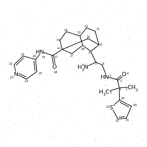 CC(C)(C(=O)NCC(N)C1C2CCC3CCC(C(=O)Nc4ccncc4)(C2)CC31)c1cccs1